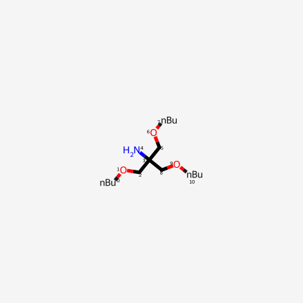 CCCCOCC(N)(COCCCC)COCCCC